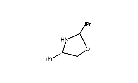 CC(C)C1N[C@@H](C(C)C)CO1